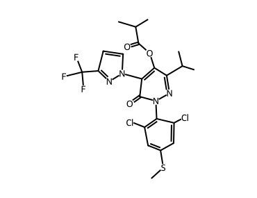 CSc1cc(Cl)c(-n2nc(C(C)C)c(OC(=O)C(C)C)c(-n3ccc(C(F)(F)F)n3)c2=O)c(Cl)c1